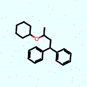 CC(CC(c1ccccc1)c1ccccc1)OC1CCCCC1